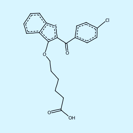 O=C(O)CCCCCOc1c(C(=O)c2ccc(Cl)cc2)sc2ccccc12